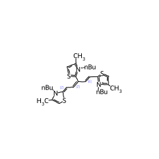 CCCCN1C(C)=CS\C1=C/C=C(/C=C/c1scc(C)[n+]1CCCC)c1scc(C)[n+]1CCCC